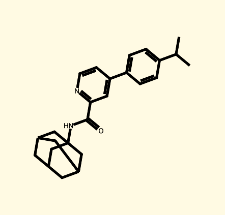 CC(C)c1ccc(-c2ccnc(C(=O)NC34CC5CC(CC(C5)C3)C4)c2)cc1